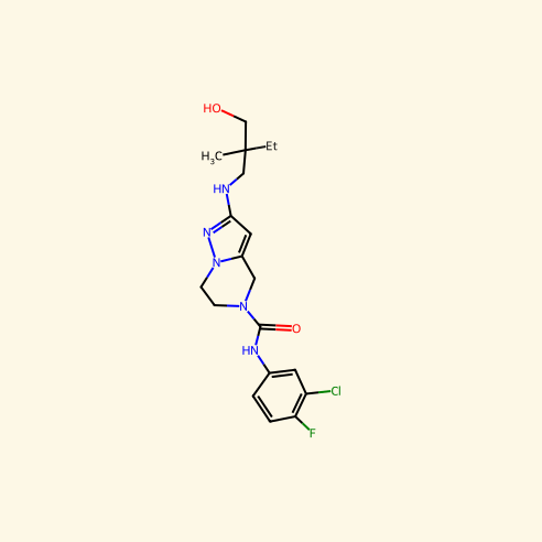 CCC(C)(CO)CNc1cc2n(n1)CCN(C(=O)Nc1ccc(F)c(Cl)c1)C2